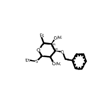 CCSC1OC(CC)[C@@H](OC(C)=O)[C@@H](OCc2ccccc2)C1OC(C)=O